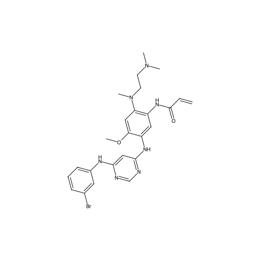 C=CC(=O)Nc1cc(Nc2cc(Nc3cccc(Br)c3)ncn2)c(OC)cc1N(C)CCN(C)C